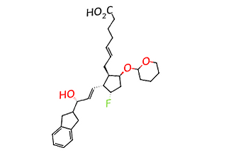 O=C(O)CCCC=CC[C@@H]1[C@@H](C=C[C@@H](O)C2Cc3ccccc3C2)[C@@H](F)C[C@@H]1OC1CCCCO1